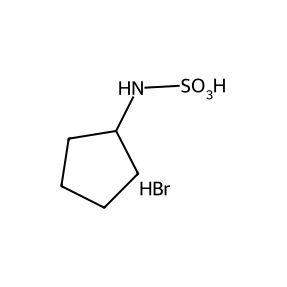 Br.O=S(=O)(O)NC1CCCC1